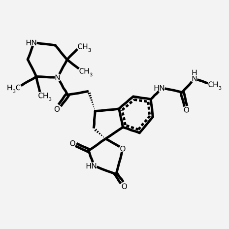 CNC(=O)Nc1ccc2c(c1)[C@@H](CC(=O)N1C(C)(C)CNCC1(C)C)C[C@@]21OC(=O)NC1=O